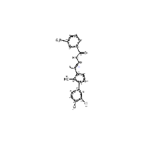 C/C(=N\NC(=O)c1cccc([N+](=O)[O-])c1)c1csc(-c2ccc(Cl)c(Cl)c2)c1O